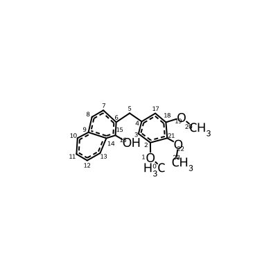 COc1cc(Cc2ccc3ccccc3c2O)cc(OC)c1OC